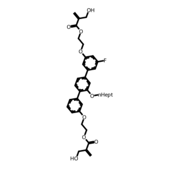 C=C(CO)C(=O)OCCOc1cc(F)cc(-c2ccc(-c3cccc(OCCOC(=O)C(=C)CO)c3)c(OCCCCCCC)c2)c1